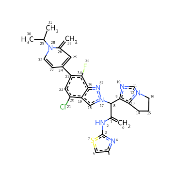 C=C(Nc1nccs1)C(c1ncn2c1CCC2)n1cc2c(Cl)cc(C3=CC(=C)N(C(C)C)C=C3)c(F)c2n1